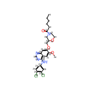 CCCCCC(=O)N1CCOC(COc2cc3ncnc(Nc4ccc(Cl)c(Cl)c4)c3cc2OC)C1